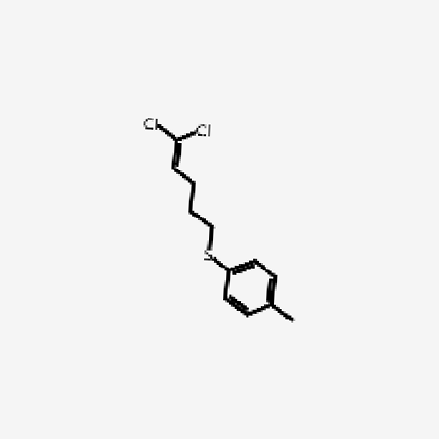 Cc1ccc(SCCCC=C(Cl)Cl)cc1